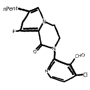 CCCCCc1cn2c(c1F)C(=O)N(c1nccc(Cl)c1C=O)CC2